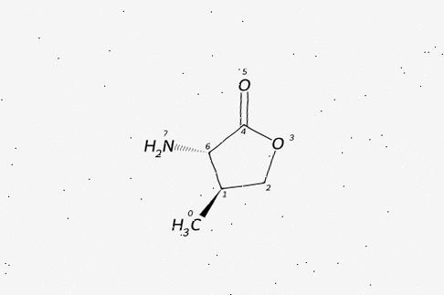 C[C@@H]1COC(=O)[C@H]1N